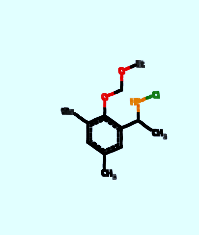 CCOCOc1c(C(C)PCl)cc(C)cc1C(C)(C)C